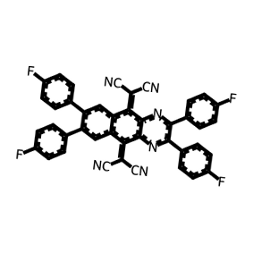 N#CC(C#N)=c1c2cc(-c3ccc(F)cc3)c(-c3ccc(F)cc3)cc2c(=C(C#N)C#N)c2nc(-c3ccc(F)cc3)c(-c3ccc(F)cc3)nc12